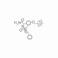 CC1(C)OCC(COc2ccc3c(c2)C2CN(C(=O)N2OCc2ccccc2)C3C(N)=O)O1